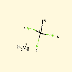 [CH2]C(F)(F)F.[MgH2]